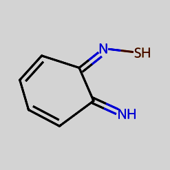 N=C1C=CC=C/C1=N/S